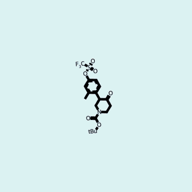 Cc1cc(OS(=O)(=O)C(F)(F)F)ccc1C1CN(C(=O)OC(C)(C)C)CCC1=O